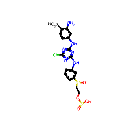 Nc1cc(Nc2nc(Cl)nc(Nc3cccc([S+]([O-])CCOS(=O)O)c3)n2)ccc1S(=O)(=O)O